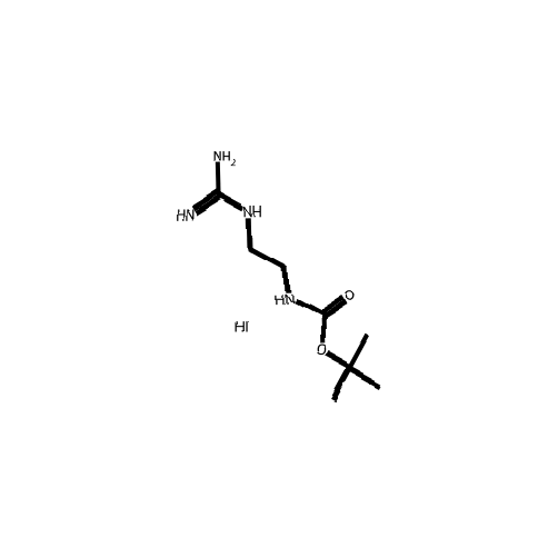 CC(C)(C)OC(=O)NCCNC(=N)N.I